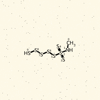 CNS(=S)(=S)SSSSS